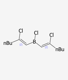 CCCC/C(Cl)=C/B(Cl)/C=C(\Cl)CCCC